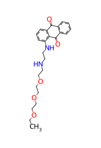 CCOCCOCCOCCNCCNc1cccc2c1C(=O)c1ccccc1C2=O